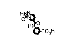 O=C(O)c1cccc(NC(=O)c2ccc3n[nH]c(=O)n3c2)c1